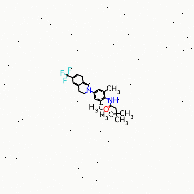 Cc1cc(N2C=C3CC=C(C(F)(F)F)C=C3CC2)cc(C)c1NC(=O)CC(C)(C)C